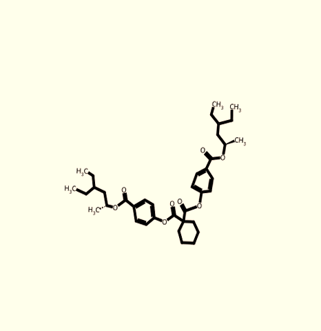 CCC(CC)C[C@@H](C)OC(=O)c1ccc(OC(=O)C2(C(=O)Oc3ccc(C(=O)O[C@H](C)CC(CC)CC)cc3)CCCCC2)cc1